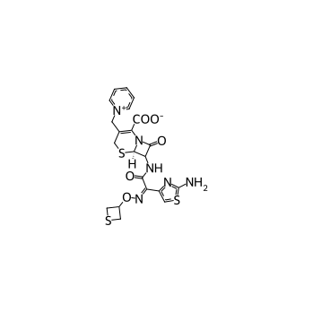 Nc1nc(/C(=N/OC2CSC2)C(=O)NC2C(=O)N3C(C(=O)[O-])=C(C[n+]4ccccc4)CS[C@H]23)cs1